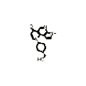 O=c1ccn([C@H]2CC[C@H](CO)CC2)c2c1cnc1[nH]ccc12